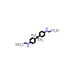 CCOC(=O)CNc1ccc(C(C)(C)c2ccc(NCC(=O)OCC)cc2)cc1